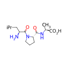 CC(C)C[C@H](N)C(=O)N1CCC[C@H]1C(=O)N[C@@H](C)C(=O)O